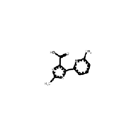 Cc1cccc(-c2sc(C)nc2C(=O)O)n1